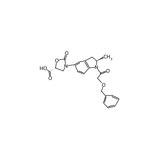 C[C@@H]1Cc2cc(N3C[C@H](C(=O)O)OC3=O)ccc2N1C(=O)COCc1ccccc1